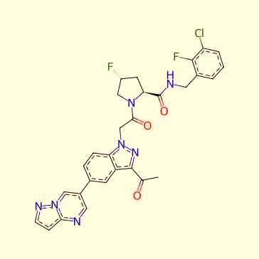 CC(=O)c1nn(CC(=O)N2C[C@H](F)C[C@H]2C(=O)NCc2cccc(Cl)c2F)c2ccc(-c3cnc4ccnn4c3)cc12